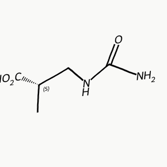 C[C@@H](CNC(N)=O)C(=O)O